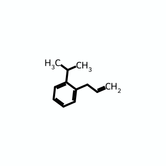 C=CCc1ccccc1C(C)C